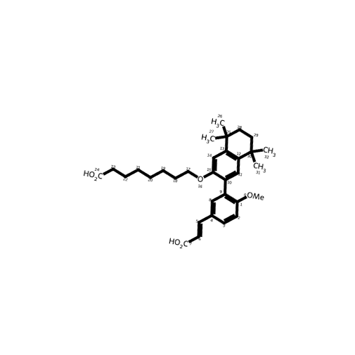 COc1ccc(/C=C/C(=O)O)cc1-c1cc2c(cc1OCCCCCCCC(=O)O)C(C)(C)CCC2(C)C